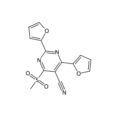 CS(=O)(=O)c1nc(-c2ccco2)nc(-c2ccco2)c1C#N